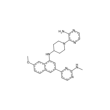 CNc1nccc(-c2cc(NC3CCN(c4nccnc4N)CC3)c3cc(OC)ccc3c2)n1